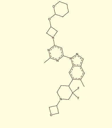 Cc1nc(N2CC(OC3CCCCO3)C2)cc(-n2ncc3cc(C)c(C4CCN(C5COC5)CC4(F)F)cc32)n1